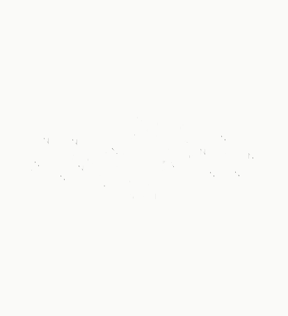 Nc1ncnc2c1ncn2[C@@H]1O[C@@H]2COP(=O)(O)OC3[C@@H](COP(=O)(O)OC2[C@@H]1O)O[C@@H](n1cnc2c(N)ncnc21)[C@H]3O